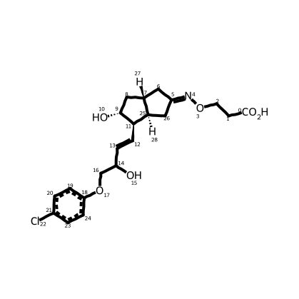 O=C(O)CCON=C1C[C@H]2C[C@@H](O)[C@H](C=CC(O)COc3ccc(Cl)cc3)[C@@H]2C1